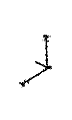 COCCOCCOCCOCCOc1c(OCCOCCOCCOCCOCCOCCOCCOCCOCCC(=O)NCCN2C([N+](=O)[O-])=CNC2C)cc(C(=O)OC)cc1OCCOCCOCCOCCOCCOCCOCCOCCOCCC(=O)NCCN1C([N+](=O)[O-])=CNC1C